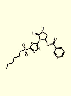 CCCCCCS(=O)(=O)c1nnc(N2C(=O)N(C)CC2OC(=O)c2cccnc2)s1